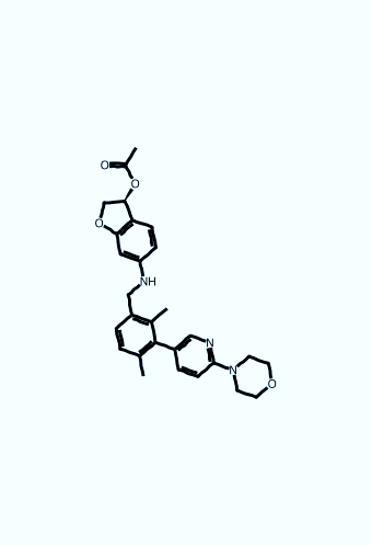 CC(=O)O[C@@H]1COc2cc(NCc3ccc(C)c(-c4ccc(N5CCOCC5)nc4)c3C)ccc21